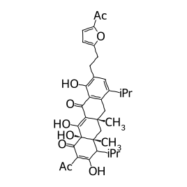 CC(=O)C1=C(O)C(C(C)C)[C@@]2(C)C[C@@]3(C)Cc4c(C(C)C)cc(CCc5ccc(C(C)=O)o5)c(O)c4C(=O)C3=C(O)[C@@]2(O)C1=O